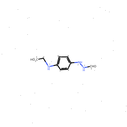 O=CNNc1ccc(N[CH]C(=O)O)cc1